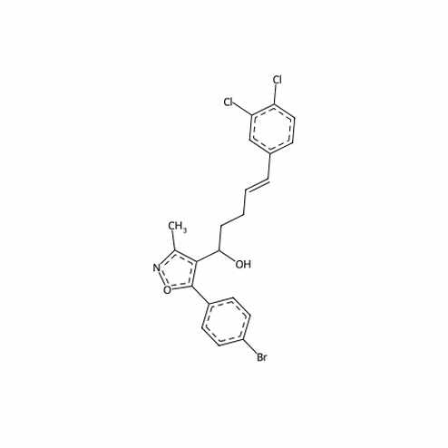 Cc1noc(-c2ccc(Br)cc2)c1C(O)CCC=Cc1ccc(Cl)c(Cl)c1